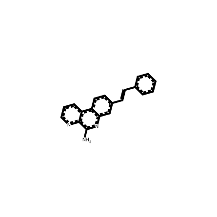 Nc1nc2cc(/C=C/c3ccccc3)ccc2c2cccnc12